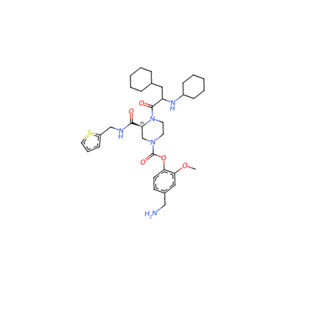 COc1cc(CN)ccc1OC(=O)N1CCN(C(=O)C(CC2CCCCC2)NC2CCCCC2)[C@H](C(=O)NCc2cccs2)C1